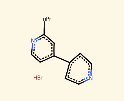 Br.CCCc1cc(-c2ccncc2)ccn1